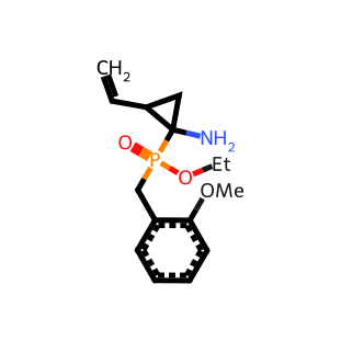 C=CC1CC1(N)P(=O)(Cc1ccccc1OC)OCC